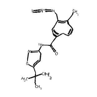 Cc1ccc(C(=O)Nc2cc(C(C)(C)C)on2)cc1N=[N+]=[N-]